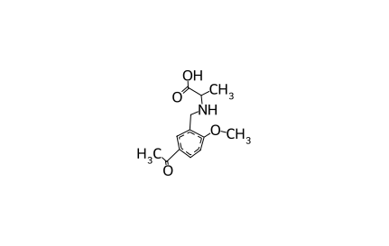 COc1ccc(C(C)=O)cc1CNC(C)C(=O)O